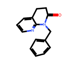 O=C1CCc2cccnc2N1Cc1ccccc1